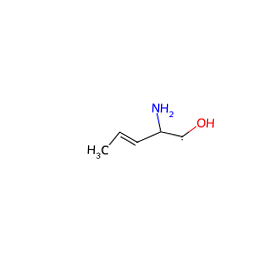 CC=CC(N)[CH]O